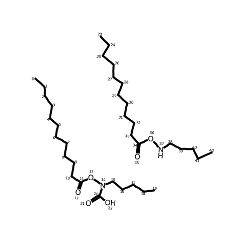 CCCCCCCCCCCC(=O)ON(CCCCC)C(=O)O.CCCCCCCCCCCC(=O)ONCCCCC